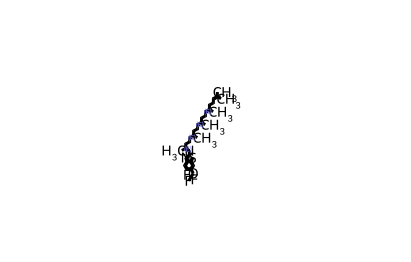 CC(C)=CCC/C(C)=C/CC/C(C)=C/CC/C(C)=C/CC/C(C)=N/c1nc2ccc(OC(F)(F)F)cc2s1